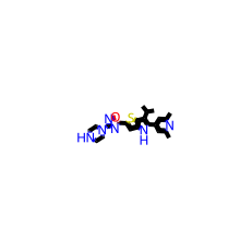 Cc1cc(-c2[nH]c3cc(-c4nc(N5CCNCC5)no4)sc3c2C(C)C)cc(C)n1